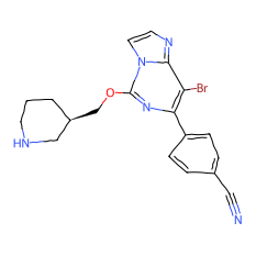 N#Cc1ccc(-c2nc(OC[C@@H]3CCCNC3)n3ccnc3c2Br)cc1